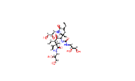 CCC(CC(C)(C)C(NC(=O)NCC(O)CO)C(=O)C(CC)C(C)(CC)C(=O)NCC(O)CO)C(=O)NCC(O)CO